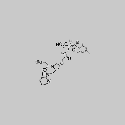 Cc1cc(C)c(S(=O)(=O)N[C@@H](CNC(=O)CO[C@@H]2C[C@@H](CNc3ccccn3)N(C(=O)CC(C)(C)C)C2)C(=O)O)c(C)c1